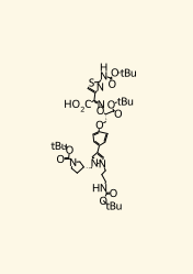 CC(C)(C)OC(=O)NCCCn1cc(-c2ccc(OC[C@H](O/N=C(\C(=O)O)c3csc(NC(=O)OC(C)(C)C)n3)C(=O)OC(C)(C)C)cc2)c[n+]1C[C@@H]1CCN(C(=O)OC(C)(C)C)C1